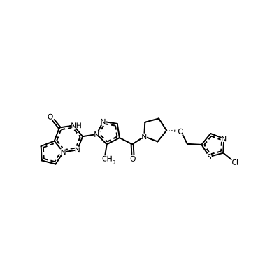 Cc1c(C(=O)N2CC[C@H](OCc3cnc(Cl)s3)C2)cnn1-c1nn2cccc2c(=O)[nH]1